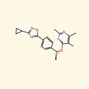 Cc1nc(C)c(C)c(O[C@@H](C)c2ccc(-c3nc(C4CC4)no3)cc2)n1